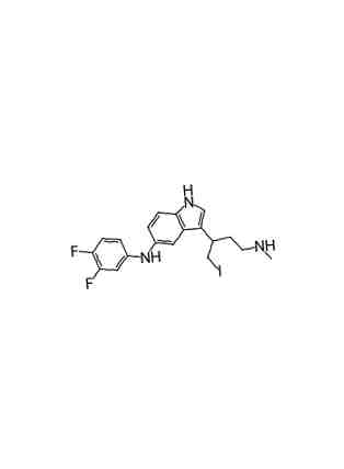 CNCCC(CI)c1c[nH]c2ccc(Nc3ccc(F)c(F)c3)cc12